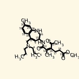 CCCN(CCC)CC1=CC(NC(=O)/C(C)=C(/CCC(=O)OC)C(C)=O)CNc2cc(C)ccc21